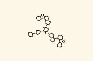 c1ccc(-c2ccc(-c3nc(-c4ccc5c(-c6cccc7oc8ccccc8c67)cccc5c4)nc(-c4ccc5ccc6oc7ccccc7c6c5c4)n3)cc2)cc1